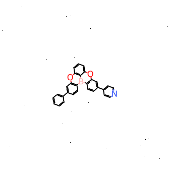 c1ccc(-c2ccc3c(c2)Oc2cccc4c2B3c2ccc(-c3ccncc3)cc2O4)cc1